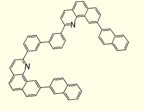 c1cc(-c2cccc(-c3ccc4ccc5ccc(-c6ccc7ccccc7c6)cc5c4n3)c2)cc(-c2ccc3ccc4ccc(-c5ccc6ccccc6c5)cc4c3n2)c1